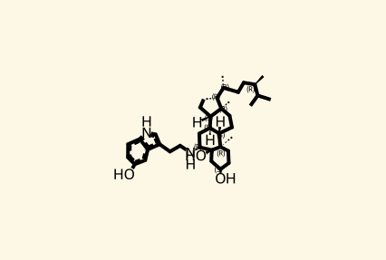 CC(C)[C@H](C)CC[C@@H](C)[C@H]1CC[C@H]2[C@@H]3C[C@@H](NCCc4c[nH]c5ccc(O)cc45)[C@@]4(O)C[C@@H](O)CC[C@]4(C)[C@H]3CC[C@]12C